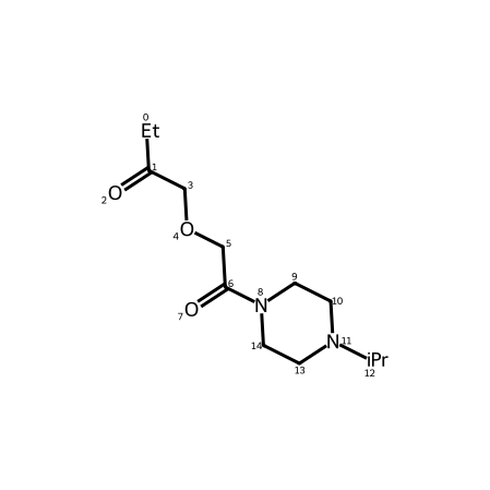 CCC(=O)COCC(=O)N1CCN(C(C)C)CC1